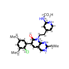 CNc1ncc2cc(-c3cc(OC)cc(OC)c3Cl)c(=O)n(CCc3ccnc(NC(=O)O)c3)c2n1